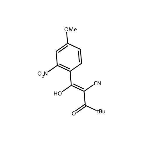 COc1ccc(/C(O)=C(\C#N)C(=O)C(C)(C)C)c([N+](=O)[O-])c1